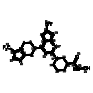 CCCc1cc2c(N3CCn4c(nnc4C(F)(F)F)C3)nc(N3CCCC(C(=O)NO)C3)nc2s1